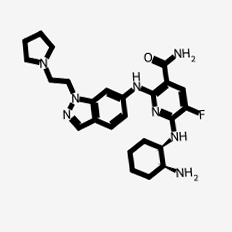 NC(=O)c1cc(F)c(N[C@@H]2CCCC[C@@H]2N)nc1Nc1ccc2cnn(CCN3CCCC3)c2c1